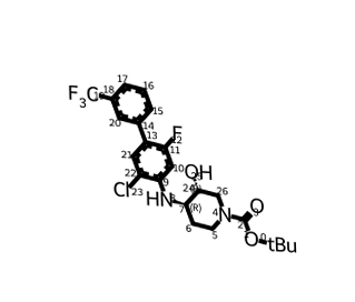 CC(C)(C)OC(=O)N1CC[C@@H](Nc2cc(F)c(-c3cccc(C(F)(F)F)c3)cc2Cl)[C@H](O)C1